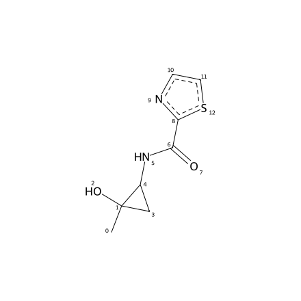 CC1(O)CC1NC(=O)c1nccs1